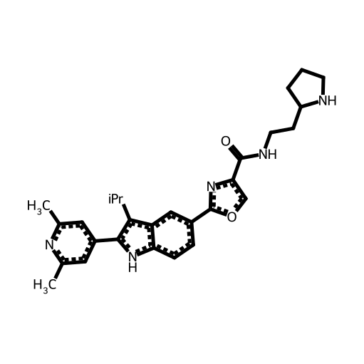 Cc1cc(-c2[nH]c3ccc(-c4nc(C(=O)NCCC5CCCN5)co4)cc3c2C(C)C)cc(C)n1